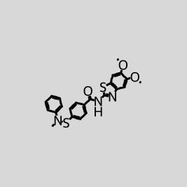 COc1cc2nc(NC(=O)c3ccc(SN(C)c4ccccc4)cc3)sc2cc1OC